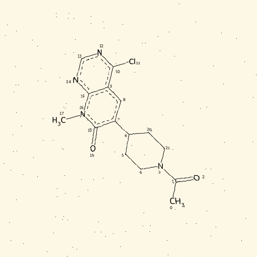 CC(=O)N1CCC(c2cc3c(Cl)ncnc3n(C)c2=O)CC1